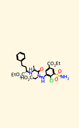 CCOC(=O)c1cc(NN(CC(=O)O)C(=O)[C@H](C)N[C@@H](CCc2ccccc2)C(=O)OCC)c(Cl)c(S(N)(=O)=O)c1